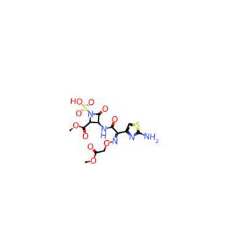 COC(=O)CON=C(C(=O)NC1C(=O)N(S(=O)(=O)O)C1C(=O)OC)c1csc(N)n1